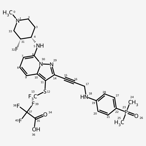 CN1CC[C@H](Nc2cccc3c(SC(F)(F)F)c(C#CCNc4ccc(P(C)(C)=O)cc4)nn23)[C@H](F)C1.O=C(O)C(F)(F)F